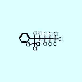 ClC(Cl)(Cl)C(Cl)(Cl)C(Cl)(Cl)C(Cl)(Cl)C(Cl)(c1[c]cccc1)C(Cl)(Cl)Cl